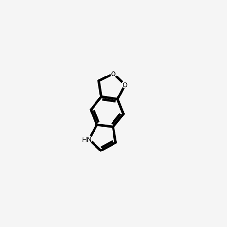 c1cc2cc3c(cc2[nH]1)COO3